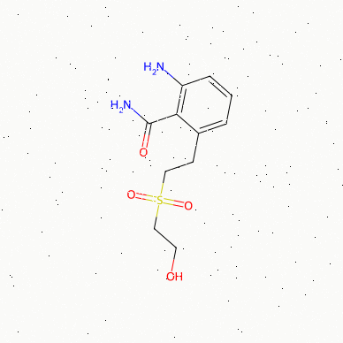 NC(=O)c1c(N)cccc1CCS(=O)(=O)CCO